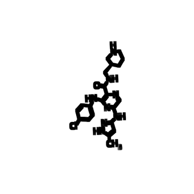 Cc1cc(Nc2cnc(C(=O)NC[C@@H]3CCCNC3)c(Nc3ccc(Cl)cc3)n2)n[nH]1